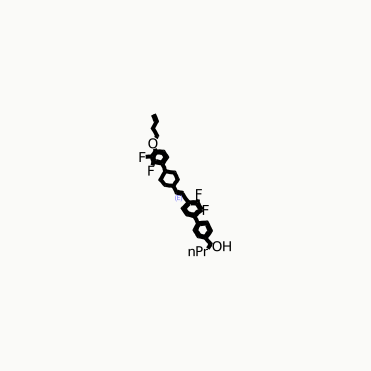 C=CCCOc1ccc(C2CCC(/C=C/c3ccc(-c4ccc(C(O)CCC)cc4)c(F)c3F)CC2)c(F)c1F